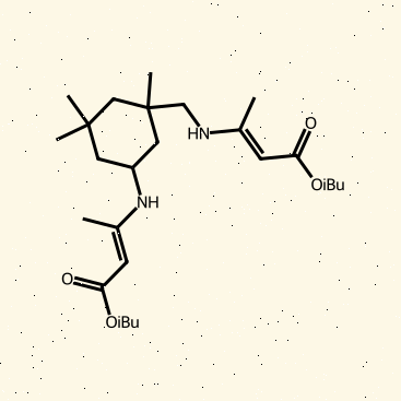 C/C(=C\C(=O)OCC(C)C)NCC1(C)CC(N/C(C)=C/C(=O)OCC(C)C)CC(C)(C)C1